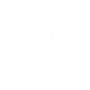 O=C(OCc1ccc(Cl)cc1)N(S)C(=O)c1sccc1Cl